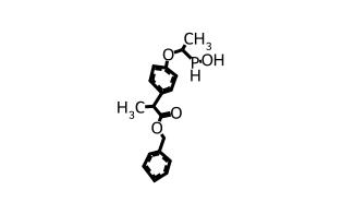 CC(Oc1ccc(C(C)C(=O)OCc2ccccc2)cc1)PO